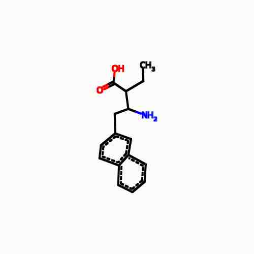 CCC(C(=O)O)C(N)Cc1ccc2ccccc2c1